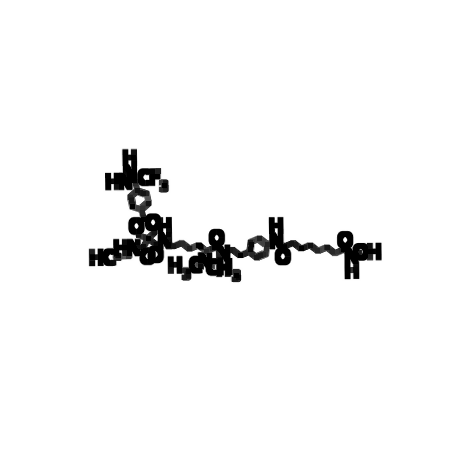 C#CCNC(=O)C1(C(=O)NCCCC[C@@H](C(=O)NCCc2ccc(NC(=O)CCCCCCC(=O)NO)cc2)N(C)C)COC(c2ccc(C3(C(F)(F)F)NN3)cc2)OC1